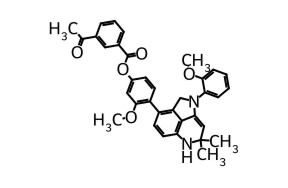 COc1cc(OC(=O)c2cccc(C(C)=O)c2)ccc1-c1ccc2c3c1CN(c1ccccc1OC)C3=CC(C)(C)N2